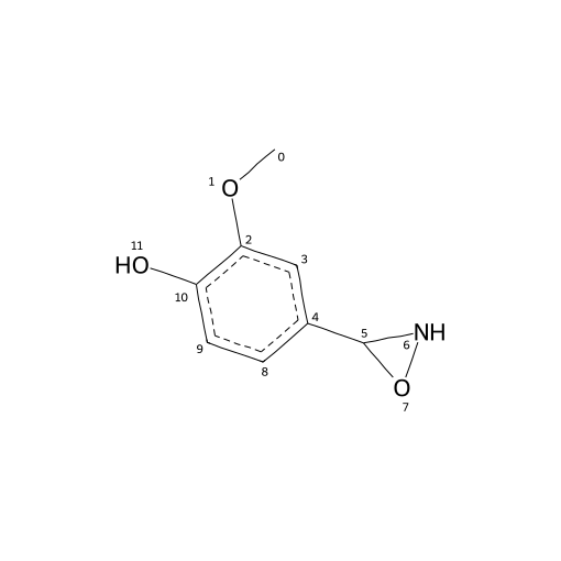 COc1cc(C2NO2)ccc1O